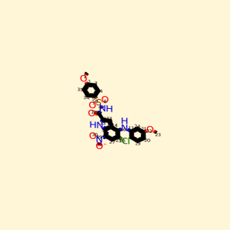 COc1ccc(S(=O)(=O)NC(=O)c2cc3c(Nc4cccc(OC)c4)c(Cl)cc([N+](=O)[O-])c3[nH]2)cc1